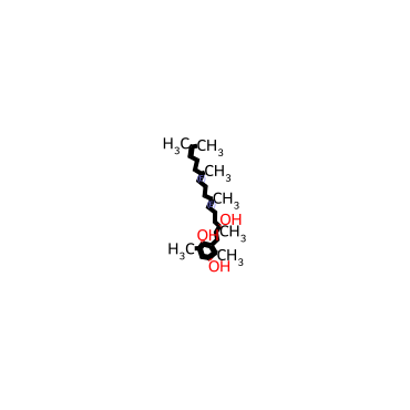 CC(C)=CCC/C(C)=C/CC/C(C)=C/CCC(C)(O)CCc1c(C)c(O)cc(C)c1O